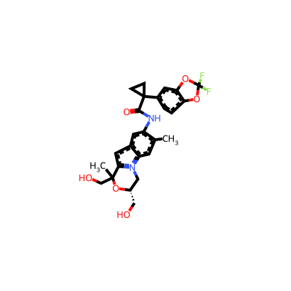 Cc1cc2c(cc1NC(=O)C1(c3ccc4c(c3)OC(F)(F)O4)CC1)cc1n2C[C@H](CO)OC1(C)CO